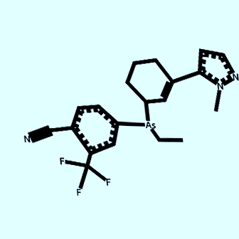 CC[As](c1ccc(C#N)c(C(F)(F)F)c1)C1C=C(c2ccnn2C)CCC1